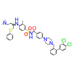 Cc1cc(S(=O)(=O)NC(=O)c2ccc(N3CCN(Cc4ccccc4-c4ccc(Cl)c(Cl)c4)CC3)cc2)ccc1N[C@H](CCN(C)C)CSc1ccccc1